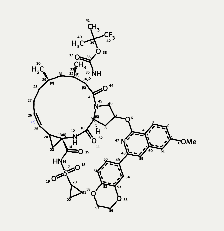 COc1ccc2c(OC3C[C@H]4C(=O)N[C@]5(C(=O)NS(=O)(=O)C6CC6)CC5/C=C\CC[C@@H](C)C[C@@H](C)[C@H](NC(=O)OC(C)(C)C(F)(F)F)C(=O)N4C3)nc(-c3ccc4c(c3)OCCO4)cc2c1